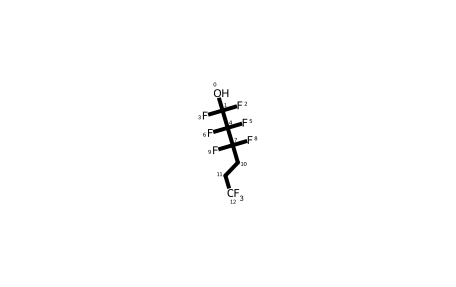 OC(F)(F)C(F)(F)C(F)(F)CCC(F)(F)F